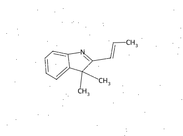 CC=CC1=Nc2ccccc2C1(C)C